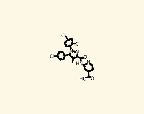 Cc1c(C(=O)Nc2cc(C(=O)O)ccn2)nn(-c2ccc(Cl)cc2Cl)c1-c1ccc(Cl)cc1